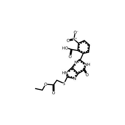 CCOC(=O)CSc1nc2c(=O)[nH]c(-c3cccc([N+](=O)[O-])c3C(=O)O)nc2[nH]1